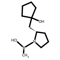 CB(O)N1CCC[C@H]1CC1(O)CCCC1